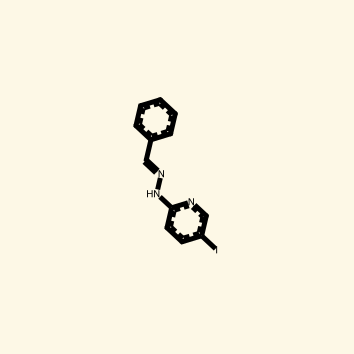 Ic1ccc(NN=Cc2ccccc2)nc1